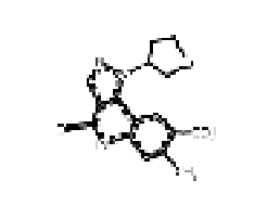 Cc1cc2[nH]c(=O)c3cnn([C@H]4CCOC4)c3c2cc1C(=O)O